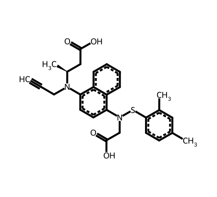 C#CCN(c1ccc(N(CC(=O)O)Sc2ccc(C)cc2C)c2ccccc12)[C@@H](C)CC(=O)O